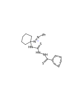 CC(C)/N=N/C1(NC(=S)NNC(=S)c2ccccc2)CCCCC1